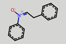 [O-]/[N+](=C/Cc1ccccc1)c1ccccc1